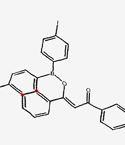 O=C(/C=C(\OB(c1ccc(I)cc1)c1ccc(I)cc1)c1ccccc1)c1ccccc1